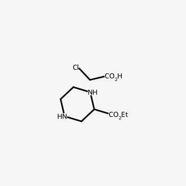 CCOC(=O)C1CNCCN1.O=C(O)CCl